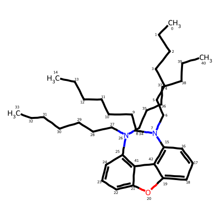 CCCCCCCN(CCCCCCC)c1cccc2oc3cccc(N(CCCCCCC)CCCCCCC)c3c12